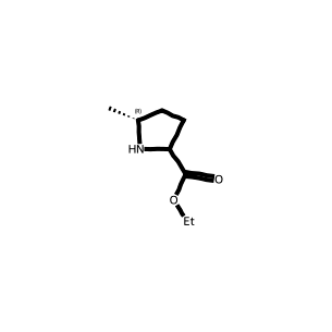 CCOC(=O)C1CC[C@@H](C)N1